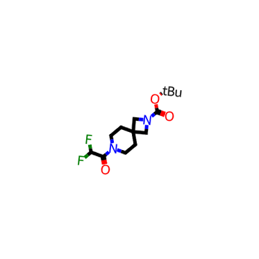 CC(C)(C)OC(=O)N1CC2(CCN(C(=O)C(F)F)CC2)C1